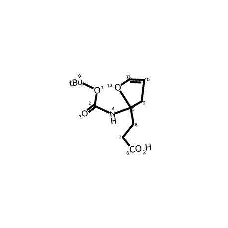 CC(C)(C)OC(=O)NC1(CCC(=O)O)CC=CO1